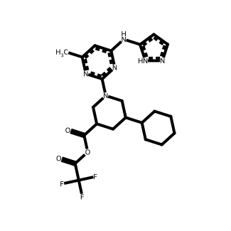 Cc1cc(Nc2ccn[nH]2)nc(N2CC(C(=O)OC(=O)C(F)(F)F)CC(C3CCCCC3)C2)n1